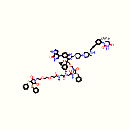 COc1ccc(C#CCNC2(C)CCN(C3CCN(c4nc([C@@](COCNC(=O)[C@H](Cc5ccccc5)NC(=O)CNC(=O)CNC(=O)CCOCCOCCN5C(=O)C(Sc6ccccc6)=C(Sc6ccccc6)C5=O)(OC5CC5)c5ccccc5)c5cc(-c6cn(C)c(=O)c7[nH]ccc67)ccc5n4)CC3)CC2)cc1N1CCC(=O)NC1=O